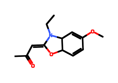 CCN1/C(=C/C(C)=O)OC2C=CC(OC)=CC21